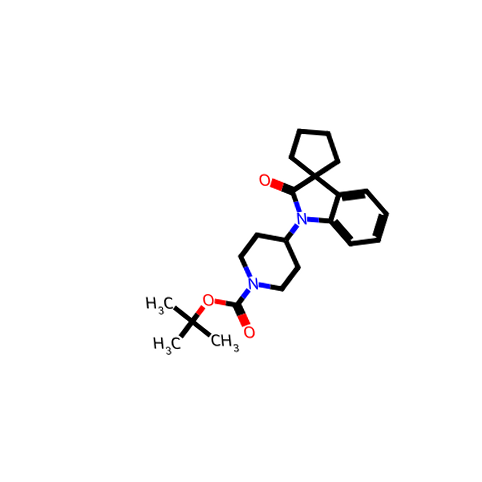 CC(C)(C)OC(=O)N1CCC(N2C(=O)C3(CCCC3)c3ccccc32)CC1